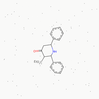 CCOC(=O)C1C(=O)CC(c2ccccc2)NC1c1ccccc1